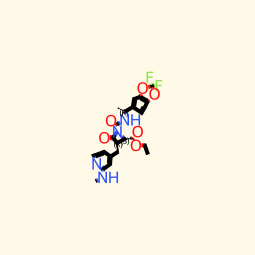 CCOC(=O)[C@@H]1[C@@H](Cc2ccnc(NC)c2)C(=O)N1C(=O)N[C@H](C)c1ccc2c(c1)OC(F)(F)O2